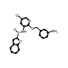 Nc1cccc(CSc2ncc(Cl)cc2N[S+]([O-])c2cc3ccccc3o2)c1